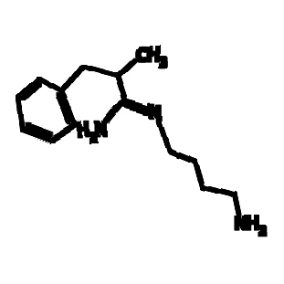 CC(Cc1ccccc1)/C(N)=N/CCCCN